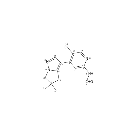 CC1(C)Cc2c(-c3cc(NC=O)ncc3Cl)cnn2C1